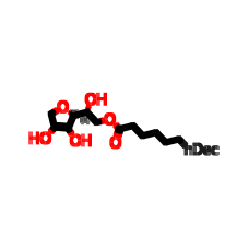 CCCCCCCCCCCCCCCC(=O)OC[C@H](O)[C@H]1OCC(O)=C1O